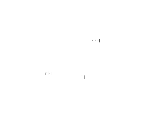 C[CH]CCC(O)C(C)(C)O